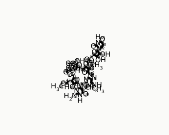 CNc1ncnc2c1ncn2[C@@H]1O[C@H](COP(=O)(O)OP(=O)(O)OP(=O)(O)OC[C@H]2O[C@@H](n3c[n+](C)c4c(=O)[nH]c(N)nc43)[C@H](O)[C@@H]2CCOC)[C@@H](OP(=O)([O-])OC[C@H]2O[C@@H](n3ccc(=O)[nH]c3=O)[C@H](O)[C@@H]2O)[C@H]1OC